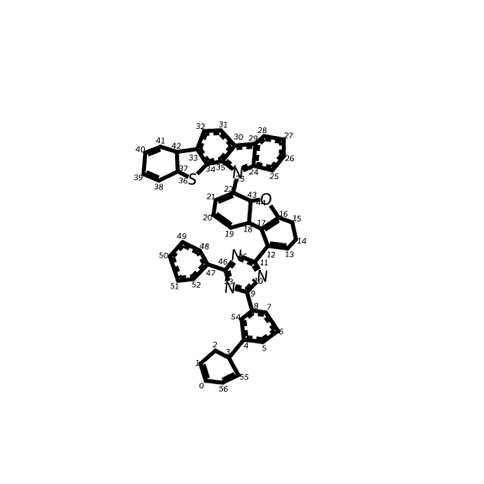 C1=CCC(c2cccc(-c3nc(C4=CCCC5=C4C4C=CC=C(n6c7ccccc7c7ccc8c(c76)SC6C=CC=CC86)C4O5)nc(-c4ccccc4)n3)c2)C=C1